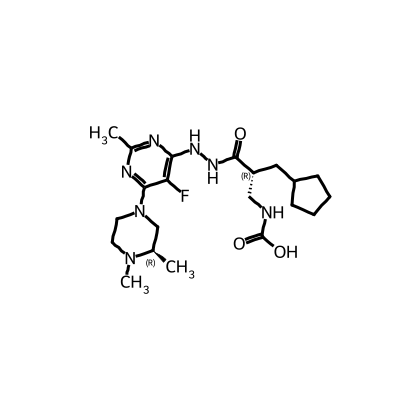 Cc1nc(NNC(=O)[C@@H](CNC(=O)O)CC2CCCC2)c(F)c(N2CCN(C)[C@H](C)C2)n1